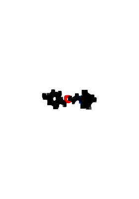 Cc1ccc(COCC[N+]23CCC(CC2)CC3)cc1